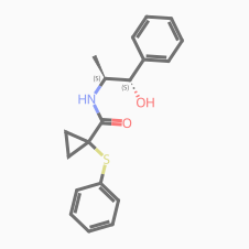 C[C@H](NC(=O)C1(Sc2ccccc2)CC1)[C@@H](O)c1ccccc1